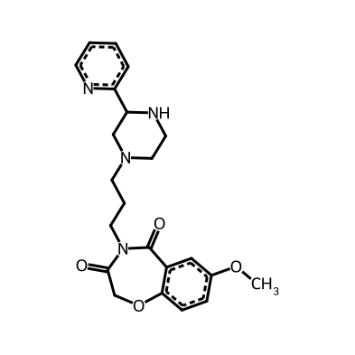 COc1ccc2c(c1)C(=O)N(CCCN1CCNC(c3ccccn3)C1)C(=O)CO2